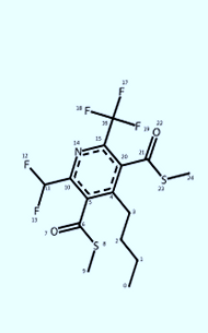 CCCCc1c(C(=O)SC)c(C(F)F)nc(C(F)(F)F)c1C(=O)SC